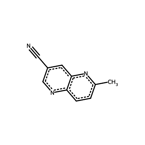 Cc1ccc2ncc(C#N)cc2n1